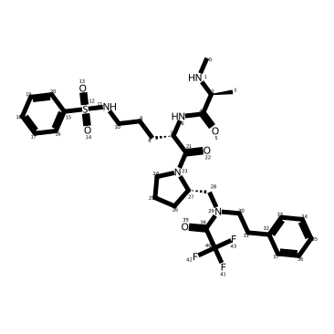 CN[C@@H](C)C(=O)N[C@@H](CCCNS(=O)(=O)c1ccccc1)C(=O)N1CCC[C@H]1CN(CCc1ccccc1)C(=O)C(F)(F)F